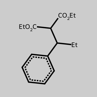 CCOC(=O)C(C(=O)OCC)C(CC)c1ccccc1